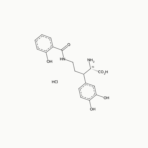 Cl.N[C@H](C(=O)O)C(CCNC(=O)c1ccccc1O)c1ccc(O)c(O)c1